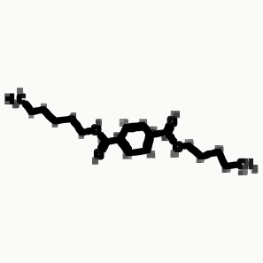 CCCCCCOC(=O)c1ccc(C(=O)OCCCCC)cc1